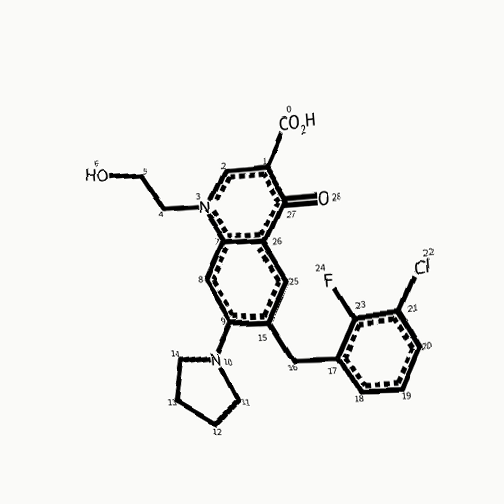 O=C(O)c1cn(CCO)c2cc(N3CCCC3)c(Cc3cccc(Cl)c3F)cc2c1=O